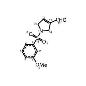 COc1cccc(S(=O)(=O)N2CC=C(C=O)C2)c1